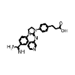 N=C(N)c1ccc(N2CCN(c3ccc(CCC(=O)O)cc3)C2=Nc2cccnc2)cc1